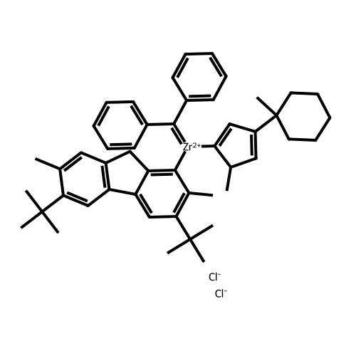 Cc1cc2c(cc1C(C)(C)C)-c1cc(C(C)(C)C)c(C)[c]([Zr+2]([C]3=CC(C4(C)CCCCC4)=CC3C)=[C](c3ccccc3)c3ccccc3)c1C2.[Cl-].[Cl-]